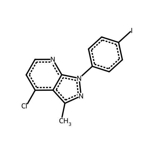 Cc1nn(-c2ccc(I)cc2)c2nccc(Cl)c12